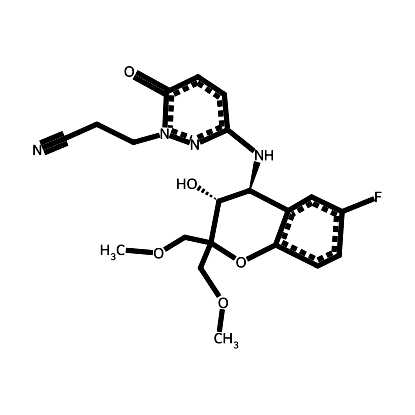 COCC1(COC)Oc2ccc(F)cc2[C@H](Nc2ccc(=O)n(CCC#N)n2)[C@H]1O